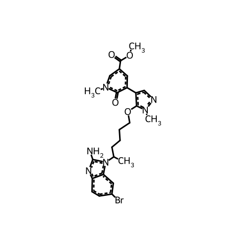 COC(=O)c1cc(-c2cnn(C)c2OCCCCC(C)n2c(N)nc3ccc(Br)cc32)c(=O)n(C)c1